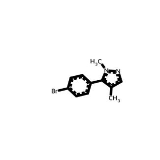 Cc1cnn(C)c1-c1ccc(Br)cc1